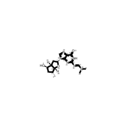 C[C@@H]1C[C@@H](O)[C@@H]2C[C@H](n3cnc4c(=O)[nH]c(/N=C/N(C)C)nc43)O[C@@H]21